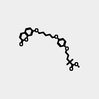 COC(=O)C(C)(C)CCCOc1ccc(OCCCCCOc2ccc3ccc(=O)oc3c2)cc1